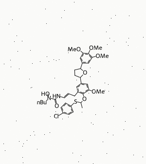 CCCCN(O)C(=O)N/C=C/Cc1cc(C2CCC(c3cc(OC)c(OC)c(OC)c3)O2)cc(OC)c1OC(C)Sc1ccc(Cl)cc1